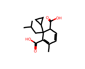 CC1=C(C(=O)O)C(CC(C)C)(C2CC2)C(C(=O)O)C=C1